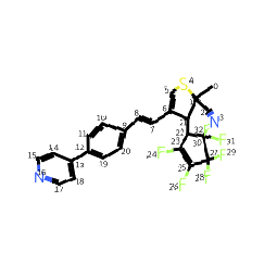 CC1(C#N)SC=C(C=Cc2ccc(-c3ccncc3)cc2)C1C1C(F)=C(F)C(F)(F)C1(F)F